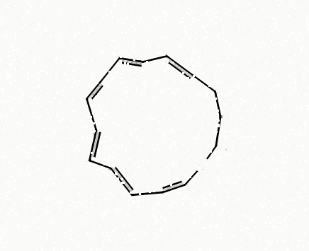 [C]1=C/C=C/C=C/C=C\C=C\C=C\CCCC\1